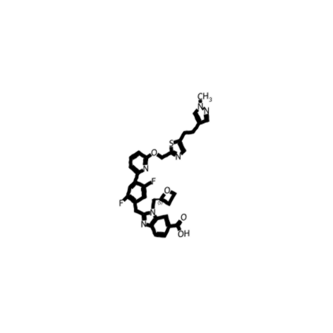 Cn1cc(CCc2cnc(COc3cccc(-c4cc(F)c(Cc5nc6ccc(C(=O)O)cc6n5C[C@@H]5CCO5)cc4F)n3)s2)cn1